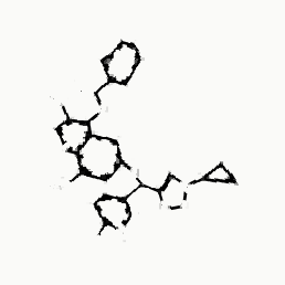 CC[C@@H](Nc1c(C#N)cnc2c(OC)cc(NC(C3=CN(C4CC4)NN3)c3ccc(F)nc3)cc12)c1ccccc1